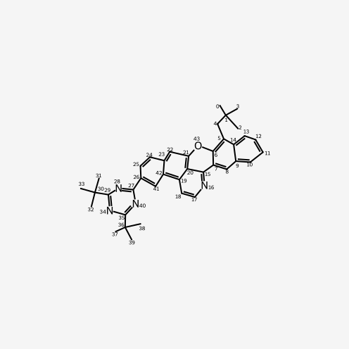 CC(C)(C)Cc1c2c(cc3ccccc13)-c1nccc3c1c(cc1ccc(-c4nc(C(C)(C)C)nc(C(C)(C)C)n4)cc13)O2